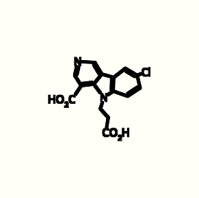 O=C(O)CCn1c2ccc(Cl)cc2c2cncc(C(=O)O)c21